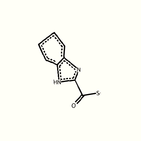 O=C([S])c1nc2ccccc2[nH]1